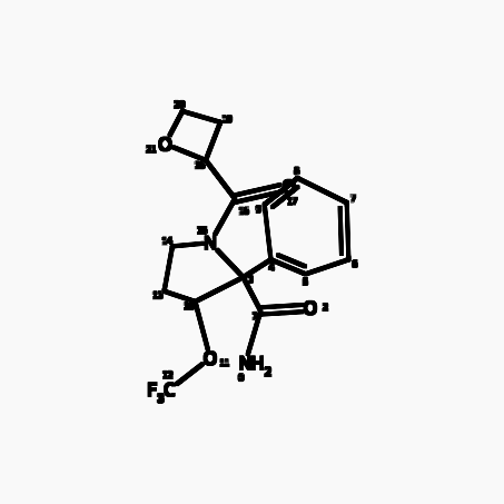 NC(=O)C1(c2ccccc2)C(OC(F)(F)F)CCN1C(=O)C1CCO1